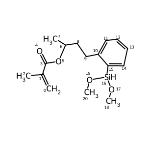 C=C(C)C(=O)OC(C)CCc1ccccc1[SiH](OC)OC